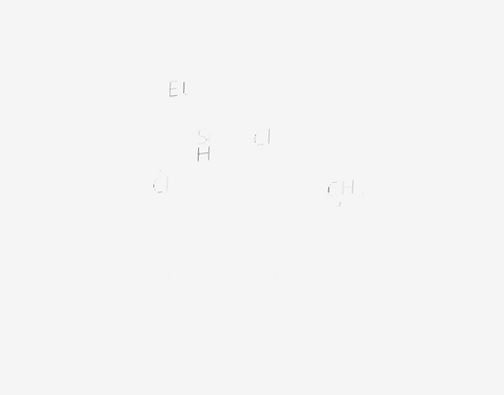 CC[SiH](Cl)Cl.Cc1ccccc1